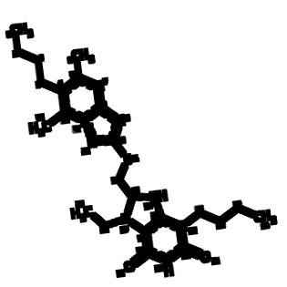 CCCCc1c(C)nc2nc(SCC3Nc4c(c(=O)[nH]c(=O)n4CCCC)N3CC)nn2c1C